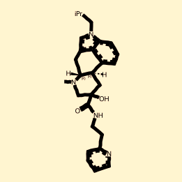 CC(C)Cn1cc2c3c(cccc31)[C@H]1CC(O)(C(=O)NCCc3ccccn3)CN(C)[C@@H]1C2